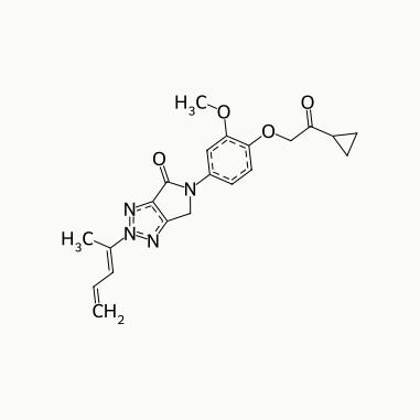 C=C/C=C(\C)n1nc2c(n1)C(=O)N(c1ccc(OCC(=O)C3CC3)c(OC)c1)C2